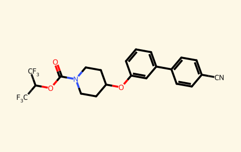 N#Cc1ccc(-c2cccc(OC3CCN(C(=O)OC(C(F)(F)F)C(F)(F)F)CC3)c2)cc1